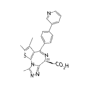 Cc1sc2c(c1C)C(c1ccc(-c3cccnc3)cc1)=N[C@@H](CC(=O)O)c1nnc(C)n1-2